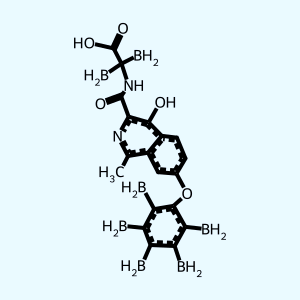 Bc1c(B)c(B)c(Oc2ccc3c(O)c(C(=O)NC(B)(B)C(=O)O)nc(C)c3c2)c(B)c1B